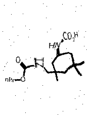 CCCOC(=O)NCC1(C)CC(NC(=O)O)CC(C)(C)C1